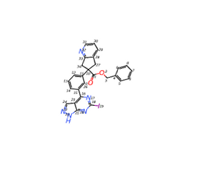 O=C(OCc1ccccc1)C1(c2cccc(-c3nc(I)nc4[nH]ncc34)c2)Cc2cccnc2C1